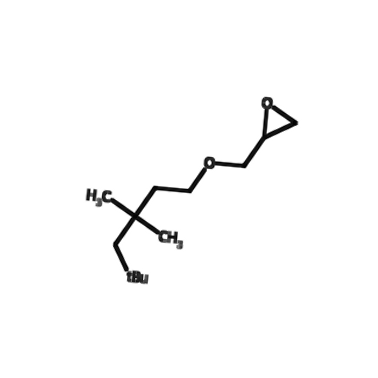 CC(C)(C)CC(C)(C)CCOCC1CO1